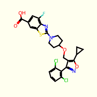 O=C(O)c1cc(F)c2nc(N3CCC(OCc4c(-c5c(Cl)cccc5Cl)noc4C4CC4)CC3)sc2c1